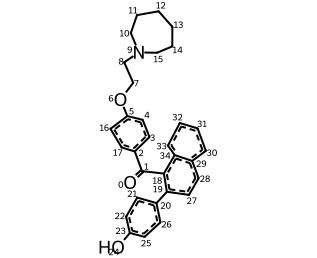 O=C(c1ccc(OCCN2CCCCCC2)cc1)c1c(-c2ccc(O)cc2)ccc2ccccc12